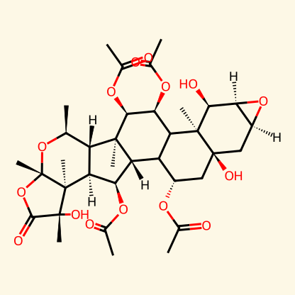 CC(=O)O[C@H]1[C@@H]2[C@H]([C@H](C)O[C@@]3(C)OC(=O)[C@@](C)(O)[C@]23C)[C@]2(C)[C@@H]1C1C([C@H](OC(C)=O)[C@@H]2OC(C)=O)[C@@]2(C)[C@@H](O)[C@H]3O[C@H]3C[C@]2(O)C[C@@H]1OC(C)=O